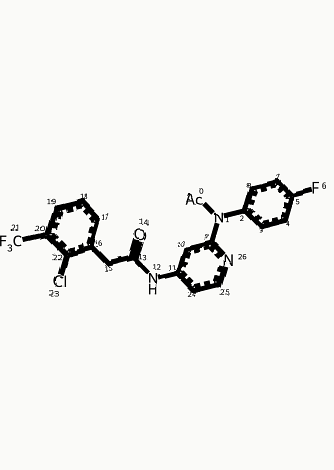 CC(=O)N(c1ccc(F)cc1)c1cc(NC(=O)Cc2cccc(C(F)(F)F)c2Cl)ccn1